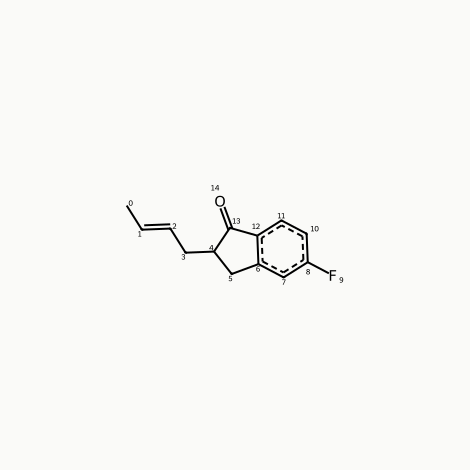 CC=CCC1Cc2cc(F)ccc2C1=O